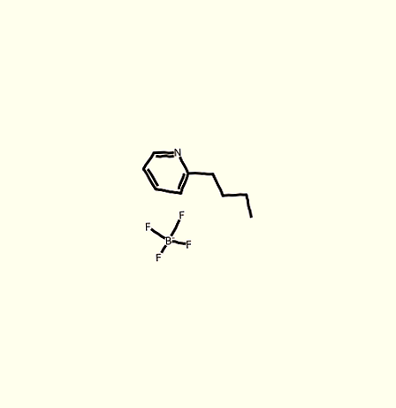 CCCCc1ccccn1.F[B-](F)(F)F